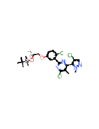 [CH2][C@H](COc1ccc(Cl)c(-c2nc(Cl)c(C)c(-c3c(Cl)cnn3C)n2)c1)O[Si](C)(C)C(C)(C)C